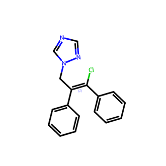 Cl/C(=C(\Cn1cncn1)c1ccccc1)c1ccccc1